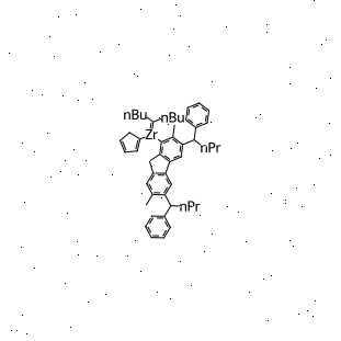 CCCC[C](CCCC)=[Zr]([C]1=CC=CC1)[c]1c(C)c(C(CCC)c2ccccc2)cc2c1Cc1cc(C)c(C(CCC)c3ccccc3)cc1-2